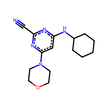 N#Cc1nc(NC2CCCCC2)cc(N2CCOCC2)n1